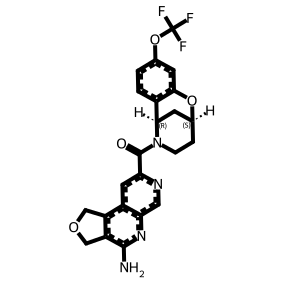 Nc1nc2cnc(C(=O)N3CC[C@H]4C[C@@H]3c3ccc(OC(F)(F)F)cc3O4)cc2c2c1COC2